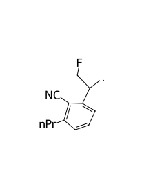 [CH2]C(CF)c1cccc(CCC)c1C#N